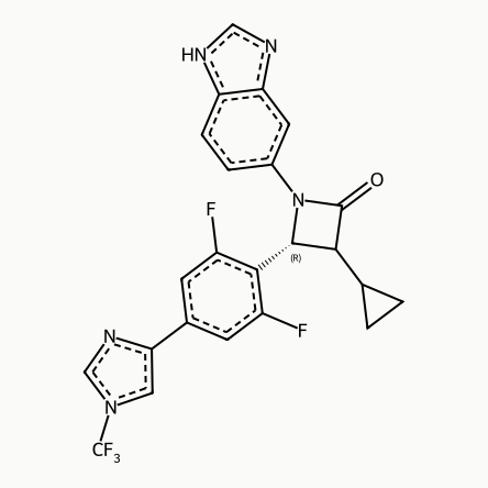 O=C1C(C2CC2)[C@H](c2c(F)cc(-c3cn(C(F)(F)F)cn3)cc2F)N1c1ccc2[nH]cnc2c1